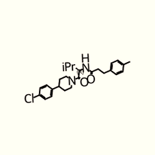 Cc1ccc(CCC(=O)N[C@@H](C(=O)N2CCC(c3ccc(Cl)cc3)CC2)C(C)C)cc1